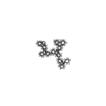 c1ccc(-n2c3ccccc3c3ccc(-c4ccc5c(c4)c4cc(-c6ccc7c8ccccc8n(-c8ccc9oc%10ccccc%10c9c8)c7c6)ccc4n5-c4ccc5c6ccccc6c6ccccc6c5c4)cc32)cc1